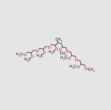 COCC(COCC(COCC(CC(C)C(COCC(COCC(COC)OC)OC)OC)OC)OC)OC